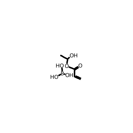 C=CC(=O)OC(C)O.OB(O)O